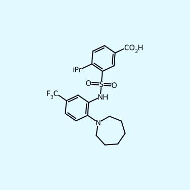 CC(C)c1ccc(C(=O)O)cc1S(=O)(=O)Nc1cc(C(F)(F)F)ccc1N1CCCCCC1